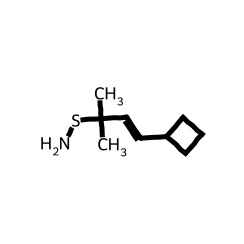 CC(C)(/C=C/C1CCC1)SN